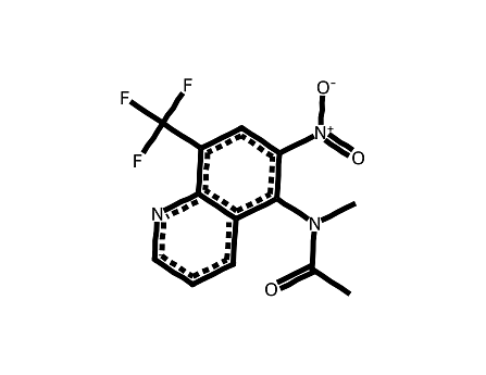 CC(=O)N(C)c1c([N+](=O)[O-])cc(C(F)(F)F)c2ncccc12